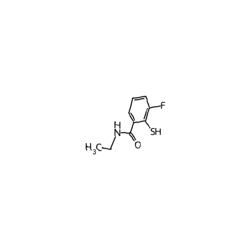 CCNC(=O)c1cccc(F)c1S